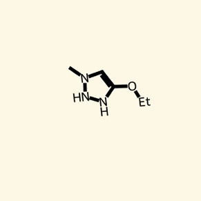 CCOC1=CN(C)NN1